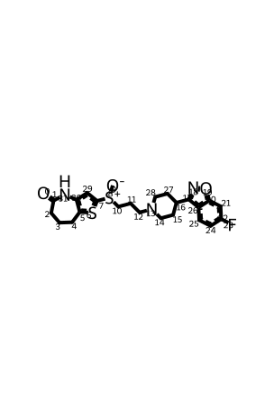 O=C1CCCc2sc([S+]([O-])CCCN3CCC(c4noc5cc(F)ccc45)CC3)cc2N1